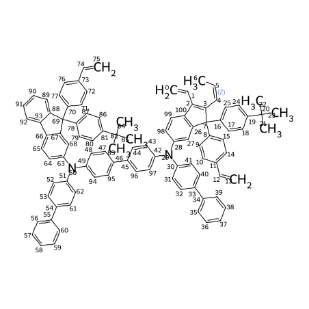 C=CC1=C(/C=C\C)C(c2ccc(C=C)cc2)(c2ccc(C(C)(C)C)cc2)c2cc(N(c3ccc(-c4ccccc4)cc3)c3ccc(-c4ccc(N(c5ccc(-c6ccccc6)cc5)c5ccc6c(c5)C(c5ccc(C=C)cc5)(c5ccc(C(C)(C)C)cc5)c5ccccc5-6)cc4)cc3)ccc21